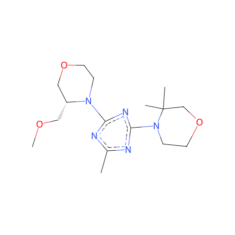 COC[C@@H]1COCCN1c1nc(C)nc(N2CCOCC2(C)C)n1